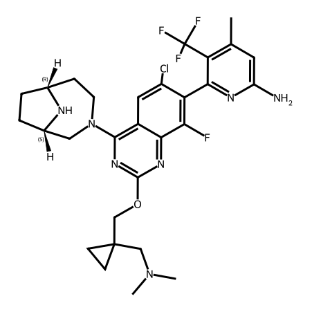 Cc1cc(N)nc(-c2c(Cl)cc3c(N4CC[C@H]5CC[C@@H](C4)N5)nc(OCC4(CN(C)C)CC4)nc3c2F)c1C(F)(F)F